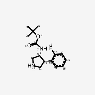 CC(C)(C)OC(=O)N[C@H]1CNC[C@@H]1c1ccccc1F